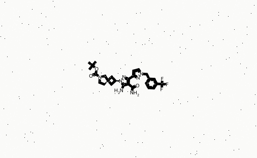 CC(C)(C)OC(=O)N1CC[C@]2(C1)C[C@H](n1nc(-c3ccn(Cc4cccc(C(F)(F)F)c4)n3)c(C(N)=O)c1N)C2